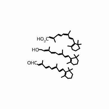 CC1=C(/C=C/C(C)=C/C=C/C(C)=C/C=O)C(C)(C)CCC1.CC1=C(/C=C/C(C)=C/C=C/C(C)=C/CO)C(C)(C)CCC1.CC1=C(/C=C/C(C)=C\C=C\C(C)=C\C(=O)O)C(C)(C)CCC1